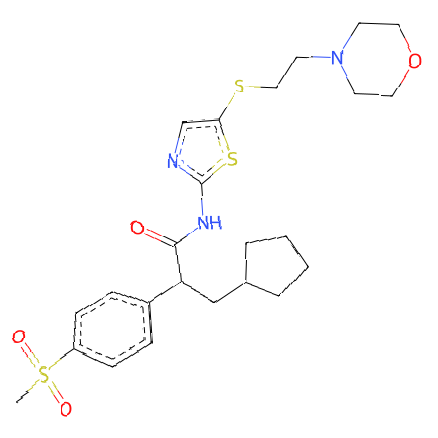 CS(=O)(=O)c1ccc(C(CC2CCCC2)C(=O)Nc2ncc(SCCN3CCOCC3)s2)cc1